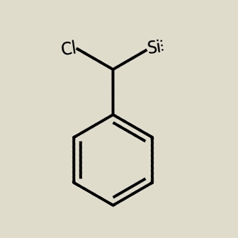 [Si]C(Cl)c1ccccc1